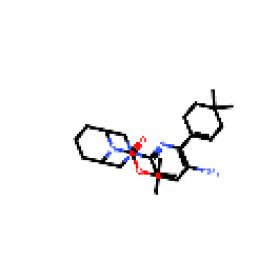 CC1(C)CC=C(c2nc(N3CC4CCCC(C3)N4C(=O)OC(C)(C)C)ccc2N)CC1